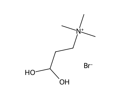 C[N+](C)(C)CCC(O)O.[Br-]